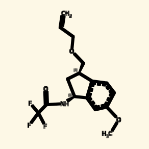 C=CCOC[C@@H]1C[C@H](NC(=O)C(F)(F)F)c2cc(OC)ccc21